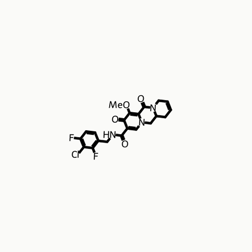 COc1c2n(cc(C(=O)NCc3ccc(F)c(Cl)c3F)c1=O)CC1CC=CCN1C2=O